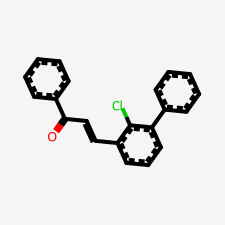 O=C(C=Cc1cccc(-c2ccccc2)c1Cl)c1ccccc1